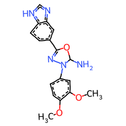 COc1ccc(N2N=C(c3ccc4[nH]cnc4c3)OC2N)cc1OC